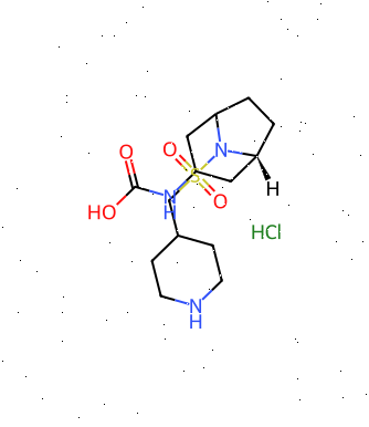 Cl.O=C(O)NC1CC2CC[C@H](C1)N2S(=O)(=O)CC1CCNCC1